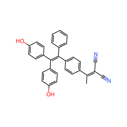 CC(=C(C#N)C#N)c1ccc(C(=C(c2ccc(O)cc2)c2ccc(O)cc2)c2ccccc2)cc1